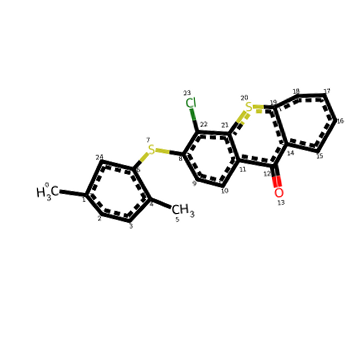 Cc1ccc(C)c(Sc2ccc3c(=O)c4ccccc4sc3c2Cl)c1